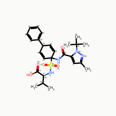 Cc1cc(C(=O)NC2(S(=O)(=O)N[C@H](C(=O)O)C(C)C)C=CC(c3ccccc3)C=C2)n(C(C)(C)C)n1